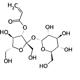 C=CC(=O)O[C@H]1[C@H](O)[C@@H](CO)O[C@@]1(CO)O[C@H]1O[C@H](CO)[C@@H](O)[C@H](O)[C@H]1O